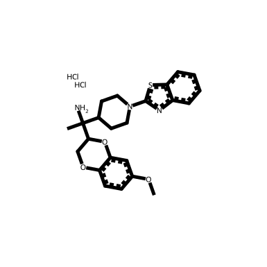 COc1ccc2c(c1)OC(C(C)(N)C1CCN(c3nc4ccccc4s3)CC1)CO2.Cl.Cl